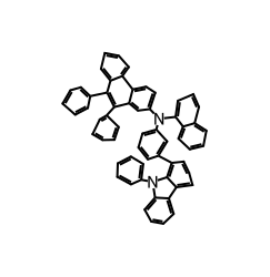 c1ccc(-c2c(-c3ccccc3)c3cc(N(c4cccc(-c5cccc6c7ccccc7n(-c7ccccc7)c56)c4)c4cccc5ccccc45)ccc3c3ccccc23)cc1